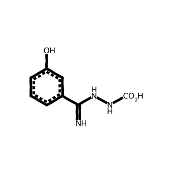 N=C(NNC(=O)O)c1cccc(O)c1